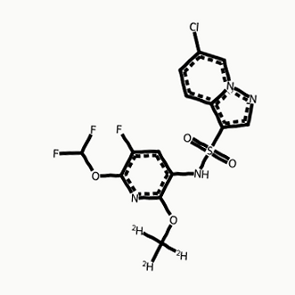 [2H]C([2H])([2H])Oc1nc(OC(F)F)c(F)cc1NS(=O)(=O)c1cnn2cc(Cl)ccc12